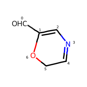 O=CC1=CN=CCO1